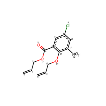 C=CCOC(=O)c1cc(Cl)cc([N+](=O)[O-])c1OCC=C